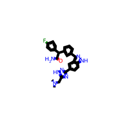 CN(C)Cc1nc(-c2ccc3[nH]nc(-c4cccc(C(C(N)=O)c5ccc(F)cc5)c4)c3c2)n[nH]1